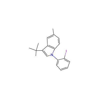 Cc1ccc2c(c1)c(C(C)(C)C)cn2-c1ccccc1I